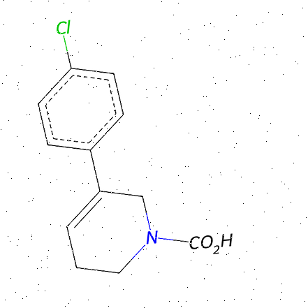 O=C(O)N1CCC=C(c2ccc(Cl)cc2)C1